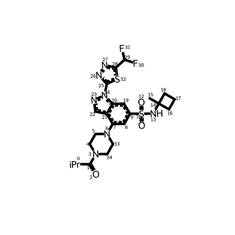 CC(C)C(=O)N1CCN(c2cc(S(=O)(=O)NC3(C)CCC3)cc3c2cnn3-c2nnc(C(F)F)s2)CC1